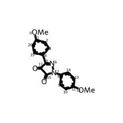 COc1ccc(C2=NN(c3ccc(OC)cc3)C(=O)C2=O)cc1